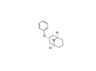 CN1[C@@H]2CCC[C@H]1C[C@H](Oc1ccccc1)C2